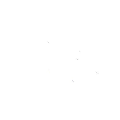 CCC1=C(/C(C)=C(\CCC(=O)N=O)N2CCCCCCC2)c2nccc(OC)c2CN1SC